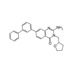 Nc1nc2cc(-c3cccc(-c4ccccc4)c3)ccc2c(=O)n1CC1CCCO1